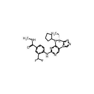 CC[C@@H]1c2nncn2-c2cnc(Nc3ccc(C(=O)NC)cc3C(F)F)nc2N1C1CCCC1